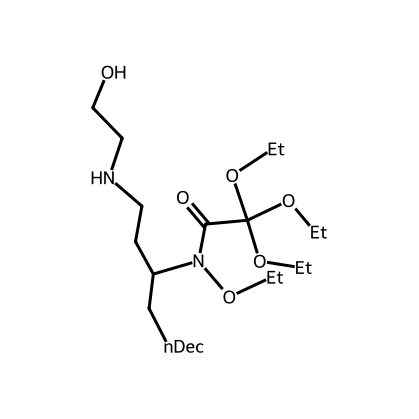 CCCCCCCCCCCC(CCNCCO)N(OCC)C(=O)C(OCC)(OCC)OCC